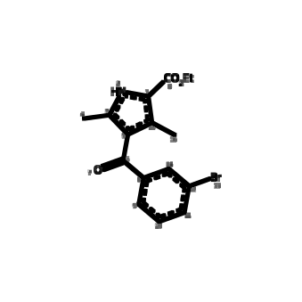 CCOC(=O)c1[nH]c(C)c(C(=O)c2cccc(Br)c2)c1C